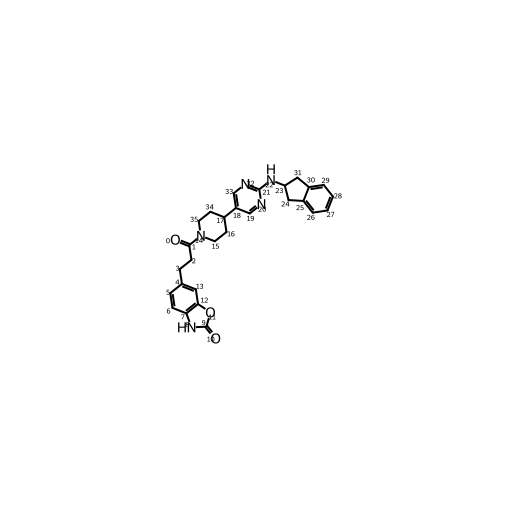 O=C(CCc1ccc2[nH]c(=O)oc2c1)N1CCC(c2cnc(NC3Cc4ccccc4C3)nc2)CC1